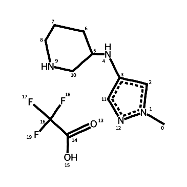 Cn1cc(NC2CCCNC2)cn1.O=C(O)C(F)(F)F